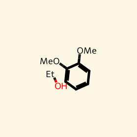 CCO.COc1ccccc1OC